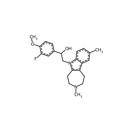 COc1ccc(C(O)Cn2c3c(c4cc(C)ccc42)CCN(C)CC3)cc1F